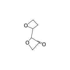 O=C1COC1C1CCO1